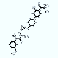 COc1cccc([C@H](O)C(=O)N(C)C[C@@H]2C[C@@H]2CC2CCN(c3ccc(C(=O)N(C)C)c(Cl)n3)CC2)c1